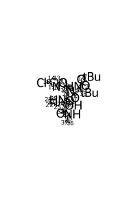 CC(C)(C)OC(=O)N[C@H](C(=O)N1C[C@H](Oc2ccc(Cl)cn2)CC1C(=O)N[C@@H](CC1CCC1)C(O)C(=O)NC1CC1)C(C)(C)C